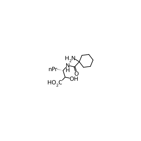 CCC[C@H](NC(=O)C1(N)CCCCC1)C(O)C(=O)O